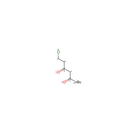 CCCCC(=O)CC(=O)CCCl